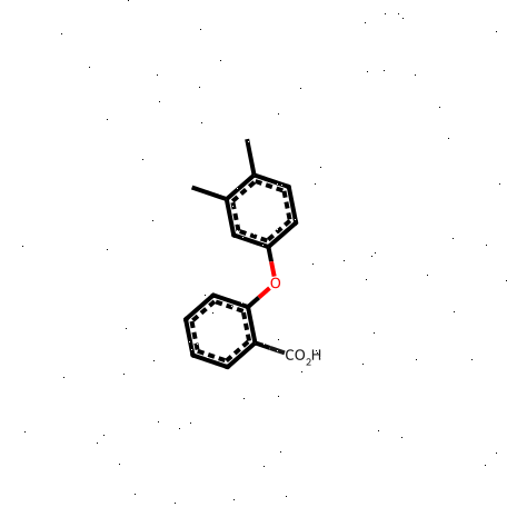 Cc1ccc(Oc2ccccc2C(=O)O)cc1C